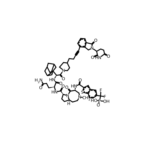 CN1CC[C@H]2CC[C@@H](C(=O)N[C@@H](CCC(N)=O)C(=O)N[C@H](C(=O)N3CCC(CCC#Cc4cccc5c4CN(C4CCC(=O)NC4=O)C5=O)CC3)C34CC5CC(CC(C5)C3)C4)N2C(=O)[C@@H](NC(=O)c2cc3cc(C(F)(F)P(=O)(O)O)ccc3s2)C1